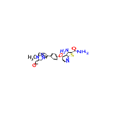 CN(C)C(=C=O)Cn1cc(-c2ccc(Oc3ccnc4sc(C(N)=O)c(N)c34)cc2)cn1